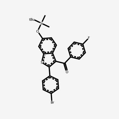 CC(C)(C)[Si](C)(C)Oc1ccc2c(C(=O)c3ccc(F)cc3)c(-c3ccc(Br)cc3)sc2c1